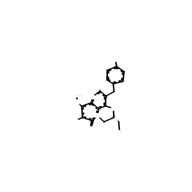 CCCCOc1c(C(=O)OCC)c(=O)n2c3c(c(Cc4ccc(F)cc4)cnc13)O[C@@H](CO)C2